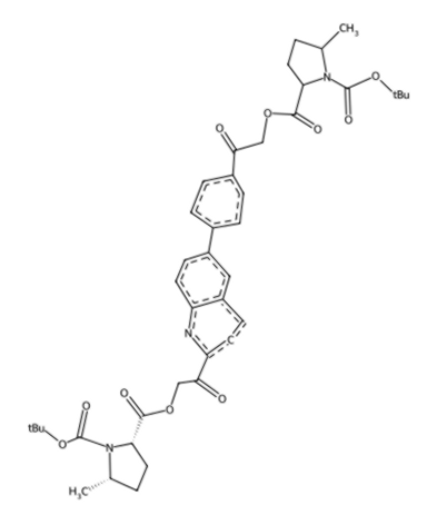 CC1CCC(C(=O)OCC(=O)c2ccc(-c3ccc4nc(C(=O)COC(=O)[C@@H]5CC[C@H](C)N5C(=O)OC(C)(C)C)ccc4c3)cc2)N1C(=O)OC(C)(C)C